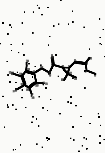 CC/C(C)=C\C1C(C(=O)OCc2c(F)c(F)c(F)c(F)c2F)C1(C)C